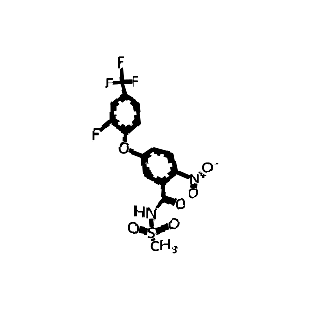 CS(=O)(=O)NC(=O)c1cc(Oc2ccc(C(F)(F)F)cc2F)ccc1[N+](=O)[O-]